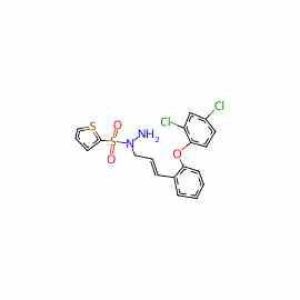 NN(CC=Cc1ccccc1Oc1ccc(Cl)cc1Cl)S(=O)(=O)c1cccs1